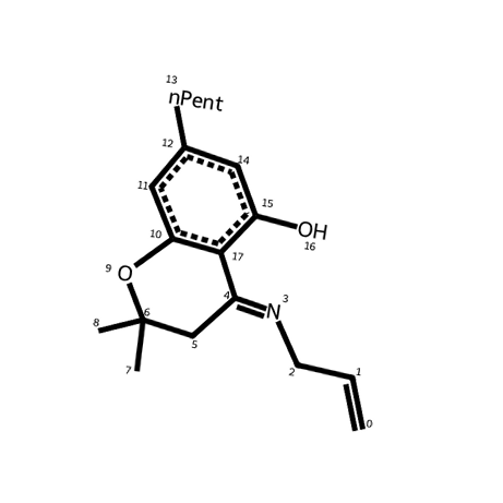 C=CCN=C1CC(C)(C)Oc2cc(CCCCC)cc(O)c21